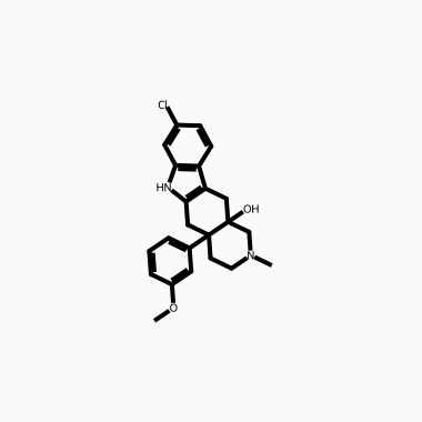 COc1cccc(C23CCN(C)CC2(O)Cc2c([nH]c4cc(Cl)ccc24)C3)c1